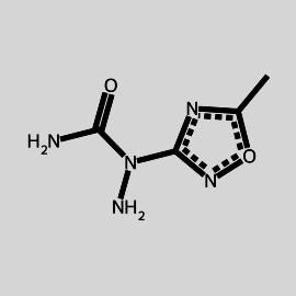 Cc1nc(N(N)C(N)=O)no1